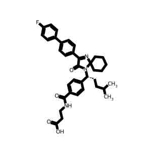 CC(C)CC[C@H](c1ccc(C(=O)NCCC(=O)O)cc1)N1C(=O)C(c2ccc(-c3ccc(F)cc3)cc2)=NC12CCCCC2